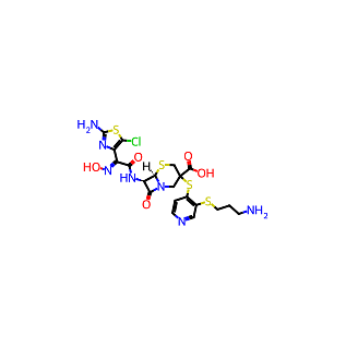 NCCCSc1cnccc1SC1(C(=O)O)CS[C@@H]2[C@H](NC(=O)C(=NO)c3nc(N)sc3Cl)C(=O)N2C1